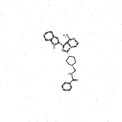 Nc1nccn2c1c(-c1cc3ccccc3[nH]1)nc2[C@H]1CC[C@H](CNC(=O)c2ccccc2)CC1